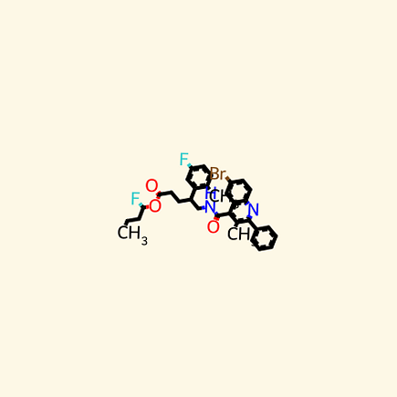 CCCC(F)OC(=O)CCC(CNC(=O)c1c(C)c(-c2ccccc2)nc2ccc(Br)cc12)c1cc(F)ccc1C